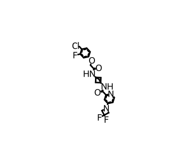 O=C(COc1ccc(Cl)c(F)c1)NC12CC(NC(=O)c3cc(N4CC(F)(F)C4)ccn3)(C1)C2